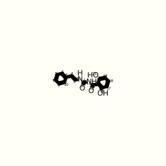 O=C(NC=Cc1ccccc1)NC(=O)c1c(O)cccc1O